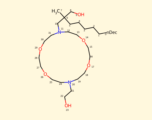 CCCCCCCCCCCCCCCC(C)(CO)CN1CCOCCOCCN(CCO)CCOCCOCC1